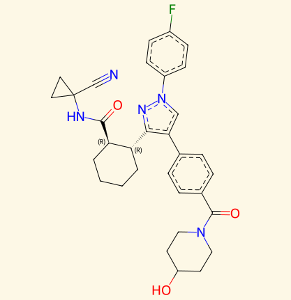 N#CC1(NC(=O)[C@@H]2CCCC[C@H]2c2nn(-c3ccc(F)cc3)cc2-c2ccc(C(=O)N3CCC(O)CC3)cc2)CC1